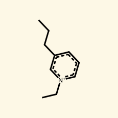 CCCc1ccc[n+](CC)c1